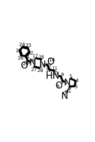 N#C[C@@H]1CCCN1C(=O)CNCCC(=O)N1CCN(C(=O)c2ccccc2)CC1